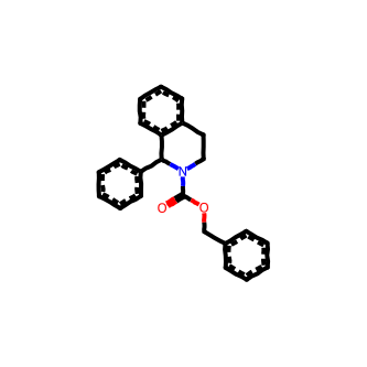 O=C(OCc1ccccc1)N1CCc2ccccc2C1c1ccccc1